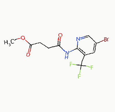 COC(=O)CCC(=O)Nc1ncc(Br)cc1C(F)(F)F